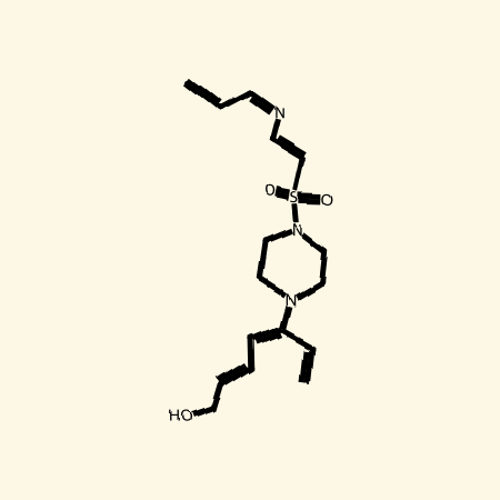 C=C/C=N\C=C\S(=O)(=O)N1CCN(/C(C=C)=C/C=C/CO)CC1